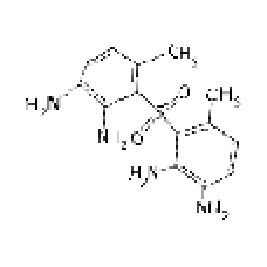 Cc1ccc(N)c(N)c1S(=O)(=O)c1c(C)ccc(N)c1N